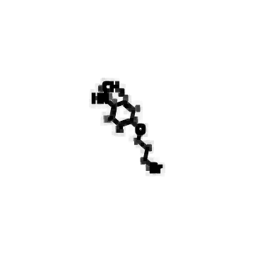 CNc1ccc(OCCCBr)cc1